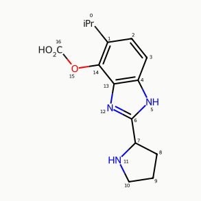 CC(C)c1ccc2[nH]c(C3CCCN3)nc2c1OC(=O)O